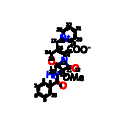 CO[C@]1(NC(=O)c2ccccc2)C(=O)N2C(C(=O)[O-])=C(C[n+]3ccccc3)CO[C@@H]21